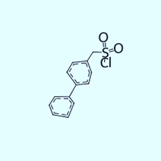 O=S(=O)(Cl)Cc1ccc(-c2ccccc2)cc1